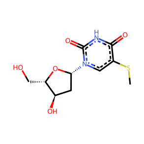 CSc1cn([C@@H]2C[C@@H](O)[C@H](CO)O2)c(=O)[nH]c1=O